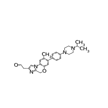 Cc1cc2c(cc1-c1ccc(N3CCN(C(C)C)CC3)cc1)OCc1nc(CC=O)cn1-2